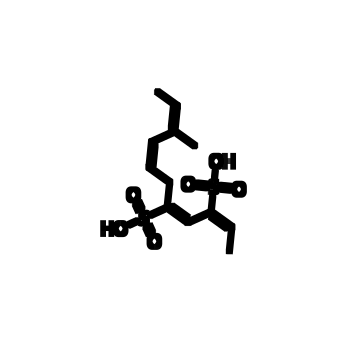 C/C=C(C)\C=C/C/C(=C\C(=C/C)S(=O)(=O)O)S(=O)(=O)O